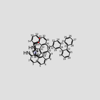 N=C1C=Cc2ccc3ccc(N(c4cccc(-c5ccccc5-c5ccccc5)c4)c4cccc5oc6ccccc6c45)cc3c2/C1=N/Nc1ccccc1